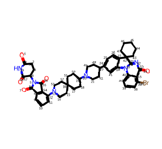 O=C1CCC(N2C(=O)c3cccc(N4CCC5(CCC(N6CCC(c7ccc8c(c7)-n7c(nc(=O)c9c(Br)cccc97)C87CCCCC7)CC6)CC5)CC4)c3C2=O)C(=O)N1